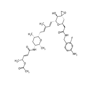 CC(=O)OC(C)C=CC(=O)N[C@@H]1C[C@H](C)[C@H](C/C=C(C)/C=C/[C@H]2O[C@H](CC(=O)NCc3ccc(N)cc3F)C[C@@]3(CO3)[C@@H]2O)O[C@@H]1C